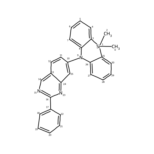 C[Si]1(C)c2ccccc2N(c2ccc3cnc(-c4ccccc4)nc3c2)c2ccccc21